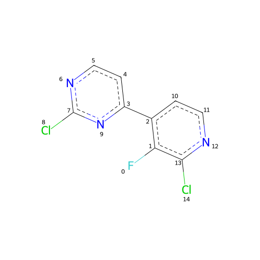 Fc1c(-c2ccnc(Cl)n2)ccnc1Cl